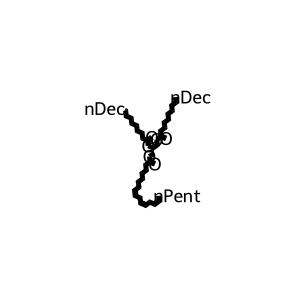 CCCCC/C=C\C/C=C\C/C=C\CCCCCCC(=O)OC[C@@H](COC(=O)CCCCCCCCCCCCCCCCCC)OC(=O)CCCCCCCCCCCCCCCCCC